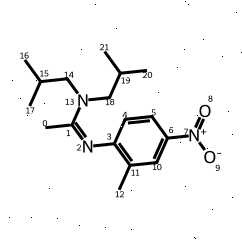 CC(=Nc1ccc([N+](=O)[O-])cc1C)N(CC(C)C)CC(C)C